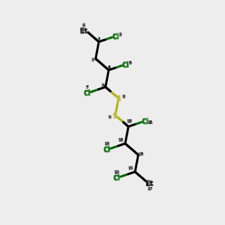 CCC(Cl)CC(Cl)C(Cl)SSC(Cl)C(Cl)CC(Cl)CC